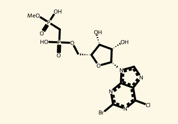 COP(=O)(O)CP(=O)(O)OC[C@H]1O[C@@H](n2cnc3c(Cl)nc(Br)nc32)[C@@H](O)[C@H]1O